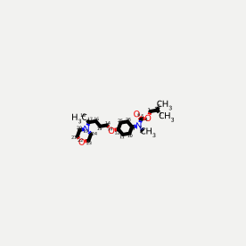 CC(C)COC(=O)N(C)C1CCC(OCCCC(C)N2CCOCC2)CC1